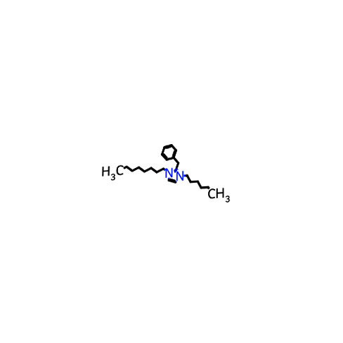 CCCCCCCC[n+]1ccn(CCCCCC)c1Cc1ccccc1